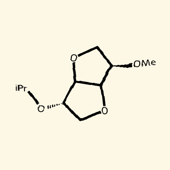 CO[C@@H]1COC2C1OC[C@@H]2OC(C)C